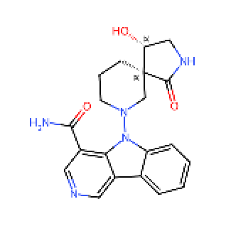 NC(=O)c1cncc2c3ccccc3n(N3CCC[C@@]4(C3)C(=O)NC[C@H]4O)c12